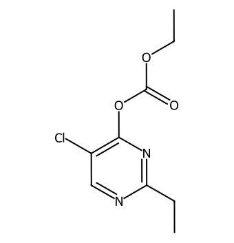 CCOC(=O)Oc1nc(CC)ncc1Cl